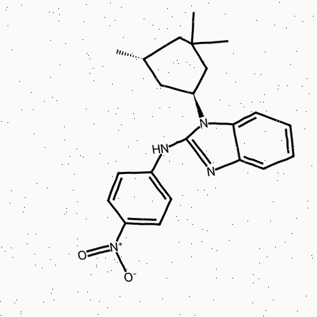 C[C@H]1C[C@H](n2c(Nc3ccc([N+](=O)[O-])cc3)nc3ccccc32)CC(C)(C)C1